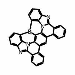 c1cc2c3c(c1)nc1c4ccccc4c4cc5c6ccccc6c6nc7cccc8c7n6c5c(c4n13)B28